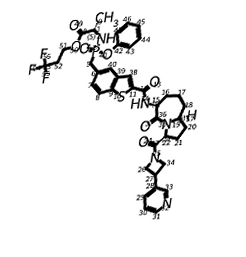 C[C@H](NP(=O)(Cc1ccc2sc(C(=O)N[C@H]3CCC[C@H]4CC[C@@H](C(=O)N5CC(c6cccnc6)C5)N4C3=O)cc2c1)Oc1ccccc1)C(=O)OCCC(F)(F)F